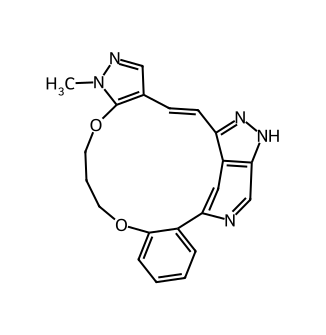 Cn1ncc2c1OCCCOc1ccccc1-c1cc3c(n[nH]c3cn1)/C=C/2